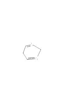 C1=NCN=CC1